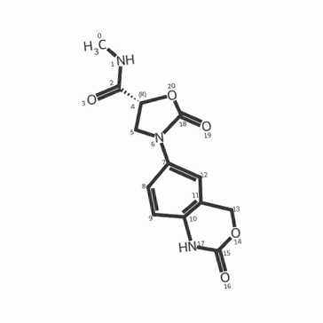 CNC(=O)[C@H]1CN(c2ccc3c(c2)COC(=O)N3)C(=O)O1